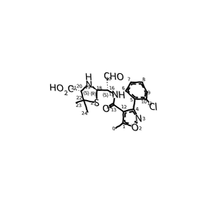 Cc1onc(-c2ccccc2Cl)c1C(=O)N[C@@H](C=O)[C@@H]1N[C@@H](C(=O)O)C(C)(C)S1